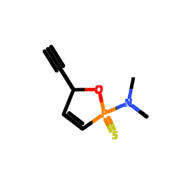 C#CC1C=CP(=S)(N(C)C)O1